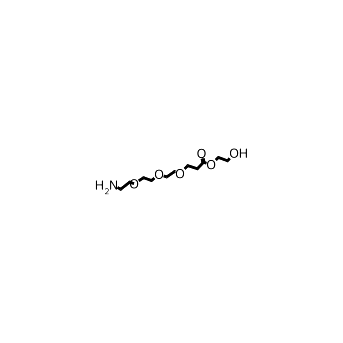 NCCOCCOCCOCCC(=O)OCCO